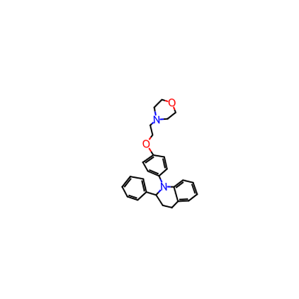 c1ccc(C2CCc3ccccc3N2c2ccc(OCCN3CCOCC3)cc2)cc1